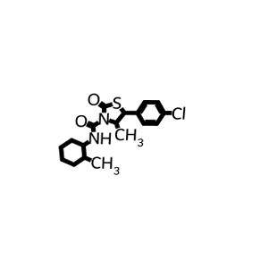 CC1CCCCC1NC(=O)N1C(=O)SC(c2ccc(Cl)cc2)C1C